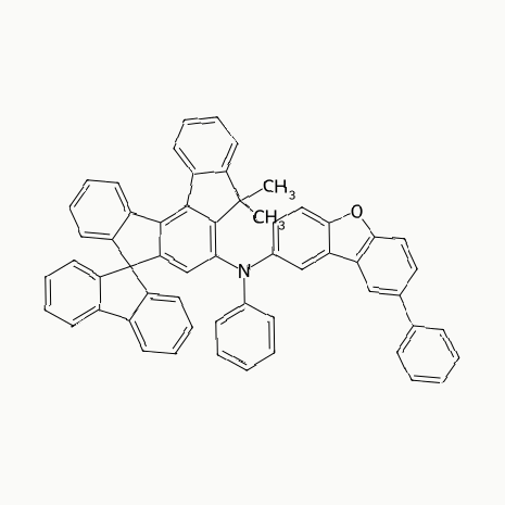 CC1(C)c2ccccc2-c2c3c(cc(N(c4ccccc4)c4ccc5oc6ccc(-c7ccccc7)cc6c5c4)c21)C1(c2ccccc2-c2ccccc21)c1ccccc1-3